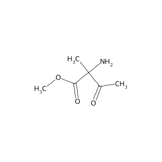 COC(=O)C(C)(N)C(C)=O